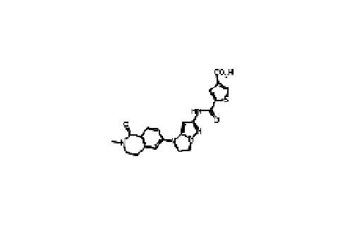 CN1CCc2cc(N3CCn4nc(NC(=O)c5cc(C(=O)O)cs5)cc43)ccc2C1=O